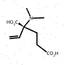 C=C[C@](CCC(=O)O)(C(=O)O)N(C)C